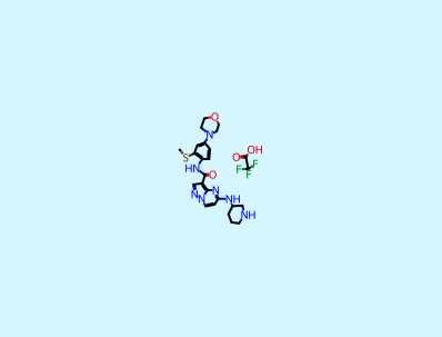 CSc1cc(N2CCOCC2)ccc1NC(=O)c1cnn2ccc(N[C@@H]3CCCNC3)nc12.O=C(O)C(F)(F)F